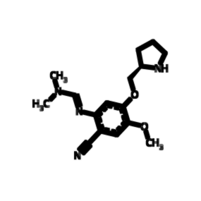 COc1cc(C#N)c(N=CN(C)C)cc1OC[C@H]1CCCN1